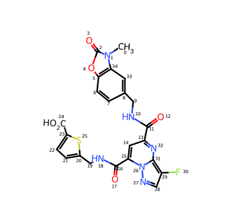 Cn1c(=O)oc2ccc(CNC(=O)c3cc(C(=O)NCc4ccc(C(=O)O)s4)n4ncc(F)c4n3)cc21